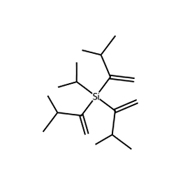 C=C(C(C)C)[Si](C(=C)C(C)C)(C(=C)C(C)C)C(C)C